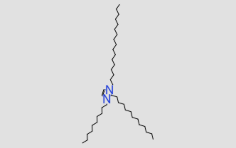 CCCCCCCCCCCCCCCCCN1C=CN(CCCCCCCCCC)C1CCCCCCCCCCCC